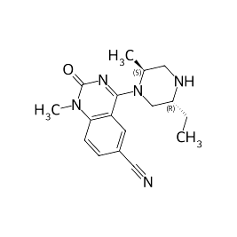 CC[C@@H]1CN(c2nc(=O)n(C)c3ccc(C#N)cc23)[C@@H](C)CN1